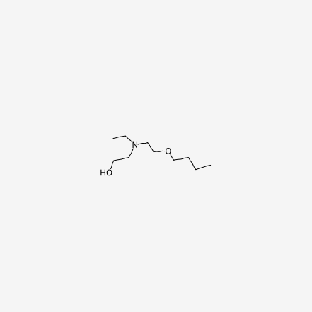 CCCCOCCN(CC)CCO